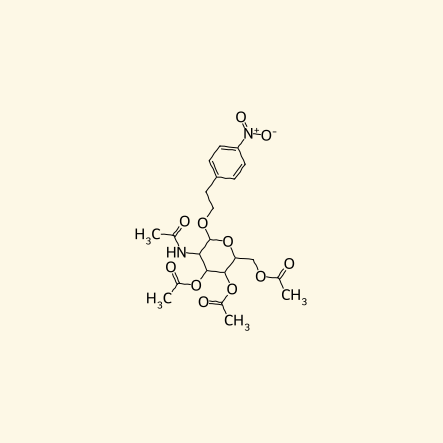 CC(=O)NC1C(OCCc2ccc([N+](=O)[O-])cc2)OC(COC(C)=O)C(OC(C)=O)C1OC(C)=O